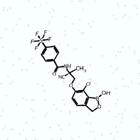 C[C@](C#N)(COc1ccc2c(c1Cl)B(O)OC2)NC(=O)c1ccc(S(F)(F)(F)(F)F)cc1